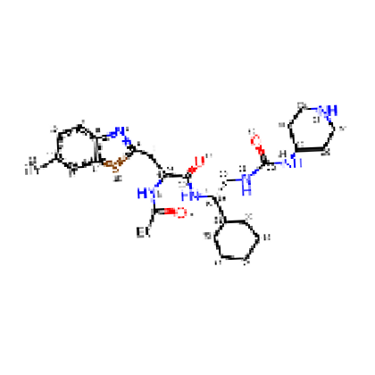 CCC(=O)N[C@@H](Cc1nc2ccc(C(C)C)cc2s1)C(=O)N[C@H](CNC(=O)NC1CCNCC1)C1CCCCC1